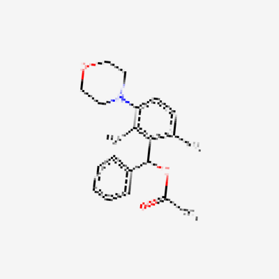 O=C(OC(c1ccccc1)c1c([N+](=O)[O-])ccc(N2CCOCC2)c1[N+](=O)[O-])C(Cl)(Cl)Cl